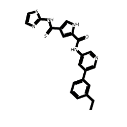 CCc1cccc(-c2cncc(NC(=O)c3cc(C(=S)Nc4nccs4)c[nH]3)c2)c1